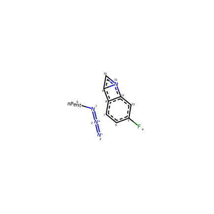 CCCCCN=[N+]=[N-].Fc1ccc2c3cn-3c2c1